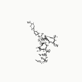 CC(C)(C)C1CC=C(c2ccc(N(Cc3ccc(C(=O)NCC(F)(F)C(=O)O)cc3)C(=O)Nc3cc(C#N)cc(C(F)(F)F)c3)cc2)CC1